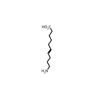 NCCCC=CCCCCC(=O)O